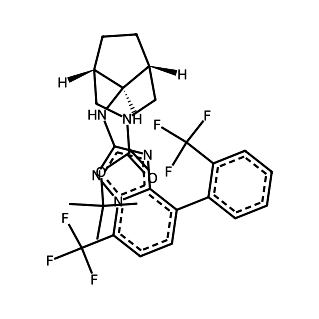 CC(C)(C)OC(=O)N1C[C@H]2CC[C@@H](C1)[C@@H]2Nc1nc2c(-c3ccccc3C(F)(F)F)ccc(C(F)(F)F)n2n1